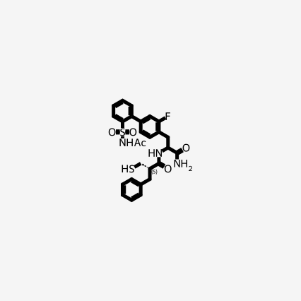 CC(=O)NS(=O)(=O)c1ccccc1-c1ccc(CC(NC(=O)[C@@H](CS)Cc2ccccc2)C(N)=O)c(F)c1